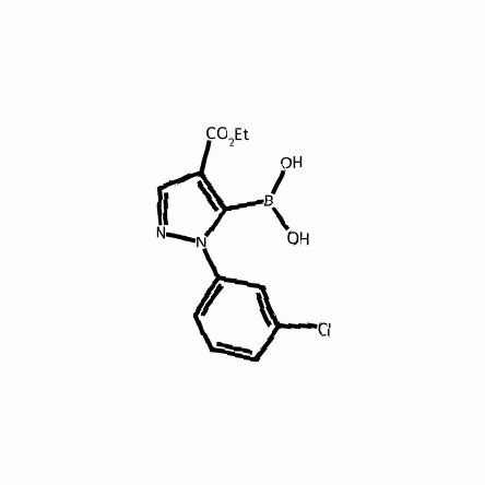 CCOC(=O)c1cnn(-c2cccc(Cl)c2)c1B(O)O